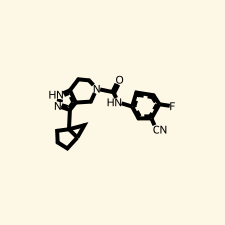 N#Cc1cc(NC(=O)N2CCc3[nH]nc(C45CCCC4C5)c3C2)ccc1F